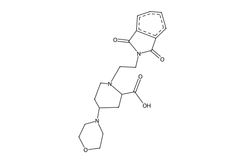 O=C(O)C1CC(N2CCOCC2)CCN1CCN1C(=O)c2ccccc2C1=O